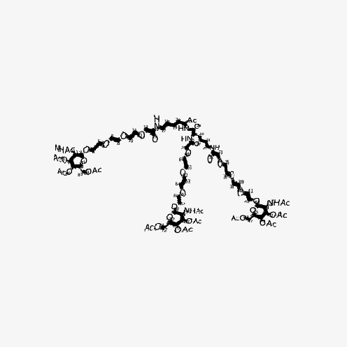 CC(=O)N[C@H]1[C@H](OCCOCCOCCOCC(=O)NCCCC[C@H](NC(=O)[C@H](CCCCNC(=O)COCCOCCOCCO[C@@H]2O[C@H](COC(C)=O)[C@H](OC(C)=O)[C@H](OC(C)=O)[C@H]2NC(C)=O)NC(=O)COCCOCCOCCO[C@@H]2O[C@H](COC(C)=O)[C@H](OC(C)=O)[C@H](OC(C)=O)[C@H]2NC(C)=O)C(C)=O)O[C@H](COC(C)=O)[C@H](OC(C)=O)[C@@H]1OC(C)=O